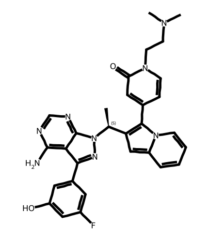 C[C@@H](c1cc2ccccn2c1-c1ccn(CCN(C)C)c(=O)c1)n1nc(-c2cc(O)cc(F)c2)c2c(N)ncnc21